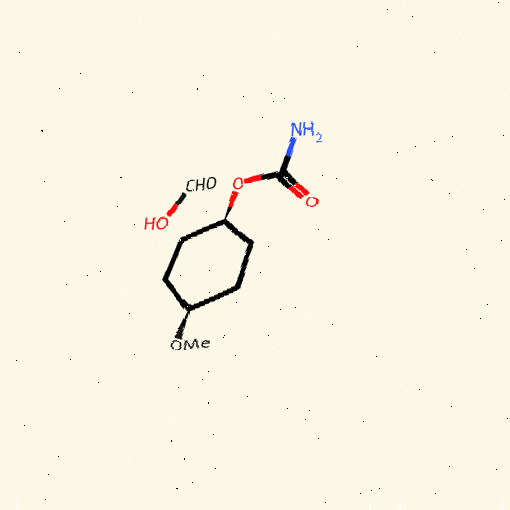 CO[C@H]1CC[C@@H](OC(N)=O)CC1.O=CO